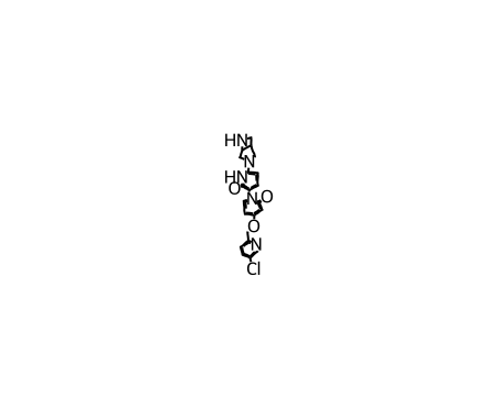 O=c1[nH]c(N2CC3CNC3C2)ccc1-n1ccc(OCc2ccc(Cl)cn2)cc1=O